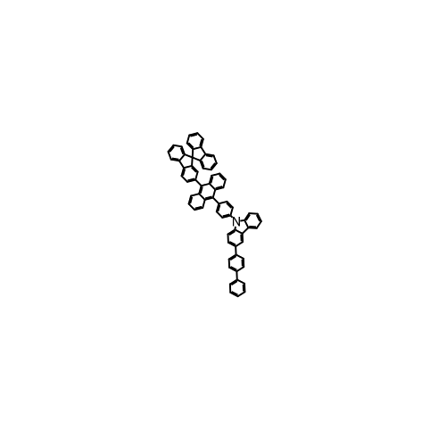 c1ccc(-c2ccc(-c3ccc4c(c3)c3ccccc3n4-c3ccc(-c4c5ccccc5c(-c5ccc6c(c5)C5(c7ccccc7-c7ccccc75)c5ccccc5-6)c5ccccc45)cc3)cc2)cc1